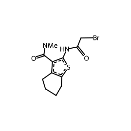 CNC(=O)c1c(NC(=O)CBr)sc2c1CCCC2